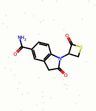 NC(=O)c1ccc2c(c1)CC(=O)N2C1CSC1=O